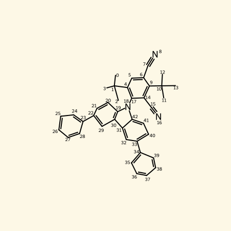 CC(C)(C)c1cc(C#N)c(C(C)(C)C)c(C#N)c1-n1c2ccc(-c3ccccc3)cc2c2cc(-c3ccccc3)ccc21